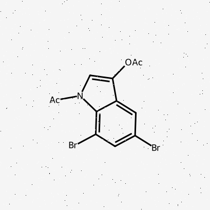 CC(=O)Oc1cn(C(C)=O)c2c(Br)cc(Br)cc12